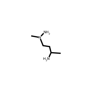 CC(N)CCN(C)N